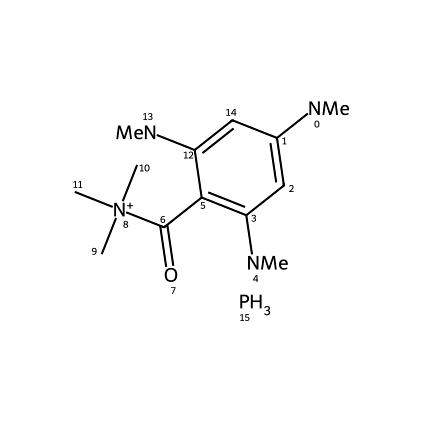 CNc1cc(NC)c(C(=O)[N+](C)(C)C)c(NC)c1.P